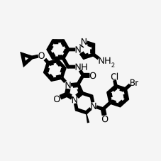 C[C@H]1Cn2c(c(C(=O)NCc3ccccc3-n3cc(N)cn3)n(-c3ccc(OC4CC4)cc3)c2=O)CN1C(=O)c1ccc(Br)c(Cl)c1